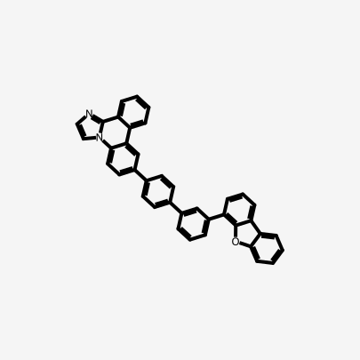 c1cc(-c2ccc(-c3ccc4c(c3)c3ccccc3c3nccn43)cc2)cc(-c2cccc3c2oc2ccccc23)c1